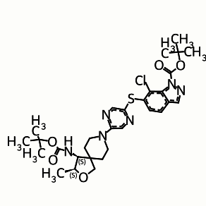 C[C@@H]1OCC2(CCN(c3cnc(Sc4ccc5cnn(C(=O)OC(C)(C)C)c5c4Cl)cn3)CC2)[C@@H]1NC(=O)OC(C)(C)C